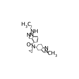 CCCNn1ncc2c(C(=O)N(C3CC3)C3CCc4nn(C)cc4C3)cccc21